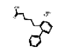 Br.O=C(O)CCCCc1ccccc1-c1ccccc1.P